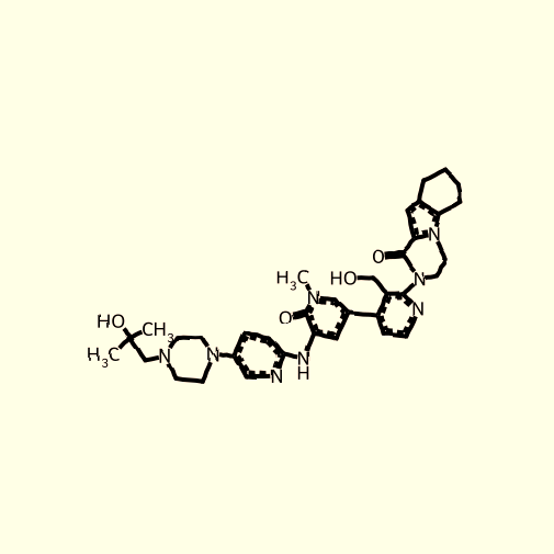 Cn1cc(-c2ccnc(N3CCn4c(cc5c4CCCC5)C3=O)c2CO)cc(Nc2ccc(N3CCN(CC(C)(C)O)CC3)cn2)c1=O